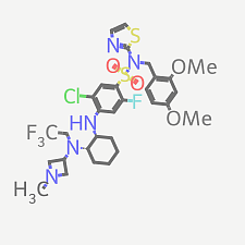 COc1ccc(CN(c2nccs2)S(=O)(=O)c2cc(Cl)c(N[C@H]3CCCC[C@@H]3N(CC(F)(F)F)C3CN(C)C3)cc2F)c(OC)c1